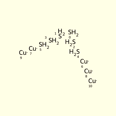 S.S.S.S.S.S.[Cu].[Cu].[Cu].[Cu].[Cu]